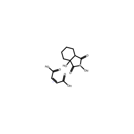 O=C(O)/C=C\C(=O)O.O=C1C2CCCCC2(O)C(=O)N1O